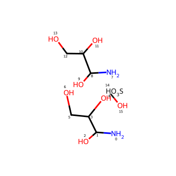 NC(O)C(O)CO.NC(O)C(O)CO.O=S(=O)(O)O